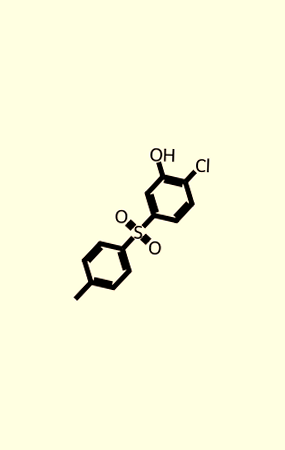 Cc1ccc(S(=O)(=O)c2ccc(Cl)c(O)c2)cc1